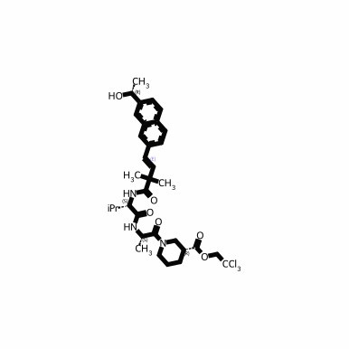 CC(C)[C@H](NC(=O)C(C)(C)/C=C/c1ccc2ccc([C@@H](C)O)cc2c1)C(=O)N[C@@H](C)C(=O)N1CCC[C@@H](C(=O)OCC(Cl)(Cl)Cl)C1